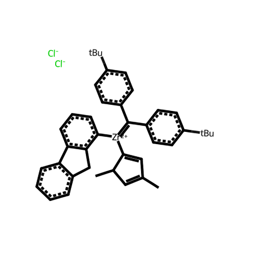 CC1=CC(C)[C]([Zr+2](=[C](c2ccc(C(C)(C)C)cc2)c2ccc(C(C)(C)C)cc2)[c]2cccc3c2Cc2ccccc2-3)=C1.[Cl-].[Cl-]